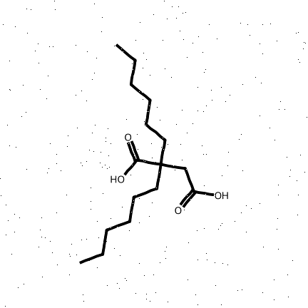 CCCCCCC(CCCCCC)(CC(=O)O)C(=O)O